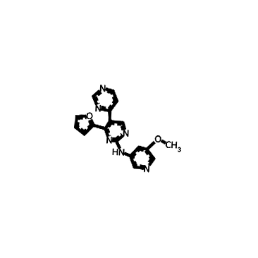 COc1cncc(Nc2ncc(-c3ccncn3)c(-c3ccco3)n2)c1